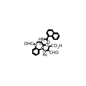 CC(=O)N([C@H](C=O)CC(=O)O)N1C(=O)[C@@H](NC(=O)c2cccc3ccccc23)CN(C=O)c2ccccc21